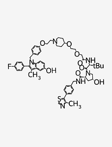 Cc1ncsc1-c1ccc(CNC(=O)[C@@H]2C[C@@H](O)CN2C(=O)[C@@H](NC(=O)COCCOC2CCN(CCOc3ccc(Cn4c(-c5ccc(F)cc5)c(C)c5cc(O)ccc54)cc3)CC2)C(C)(C)C)cc1